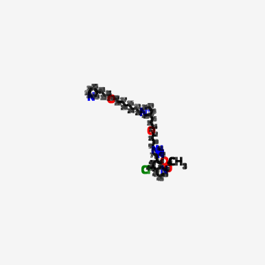 CC(=O)Oc1c(-c2cn(CCCCOCCCc3ccc[n+](CCCCCCCCOCCCc4cccnc4)c3)nn2)cc(Cl)c2cccnc12